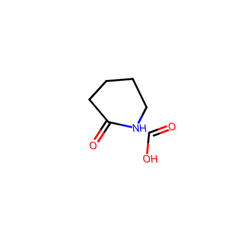 O=C1CCCCN1.O=CO